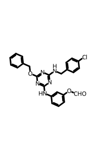 O=COc1cccc(Nc2nc(NCc3ccc(Cl)cc3)nc(OCc3ccccc3)n2)c1